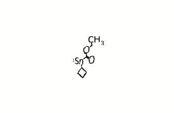 CCO[C](=O)[Sn][CH]1CCC1